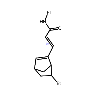 CCNC(=O)/C=C/C1=CC2CC(CC)C1C2